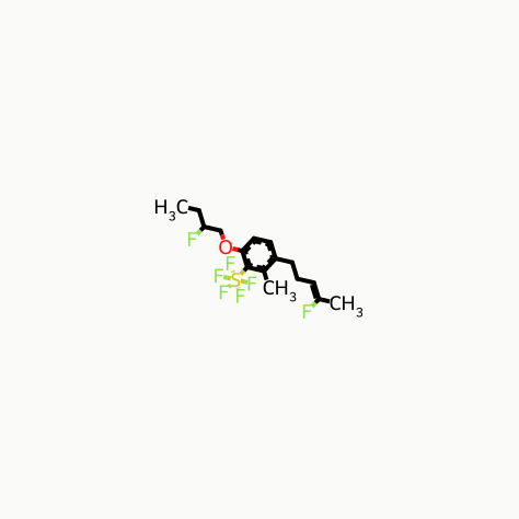 CCC(F)COc1ccc(CC/C=C(/C)F)c(C)c1S(F)(F)(F)(F)F